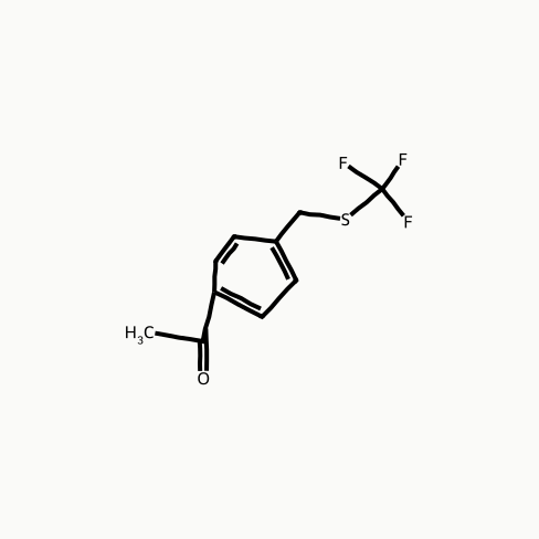 CC(=O)c1ccc(CSC(F)(F)F)cc1